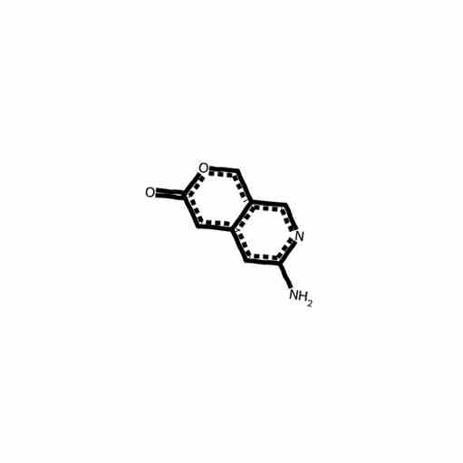 Nc1cc2cc(=O)occ2cn1